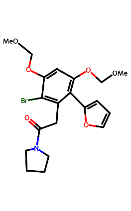 COCOc1cc(OCOC)c(-c2ccco2)c(CC(=O)N2CCCC2)c1Br